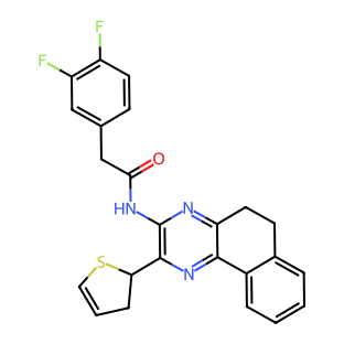 O=C(Cc1ccc(F)c(F)c1)Nc1nc2c(nc1C1CC=CS1)-c1ccccc1CC2